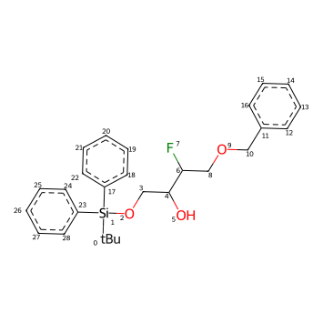 CC(C)(C)[Si](OCC(O)C(F)COCc1ccccc1)(c1ccccc1)c1ccccc1